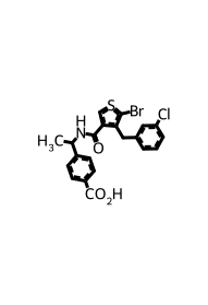 CC(NC(=O)c1csc(Br)c1Cc1cccc(Cl)c1)c1ccc(C(=O)O)cc1